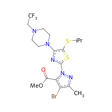 COC(=O)c1c(Br)c(C)nn1-c1nc(N2CCN(CC(F)(F)F)CC2)c(SC(C)C)s1